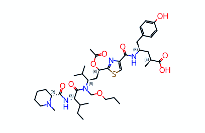 CCCOCN(C(=O)[C@@H](NC(=O)[C@H]1CCCCN1C)C(C)CC)[C@H](C[C@@H](OC(C)=O)c1nc(C(=O)N[C@@H](Cc2ccc(O)cc2)C[C@H](C)C(=O)O)cs1)C(C)C